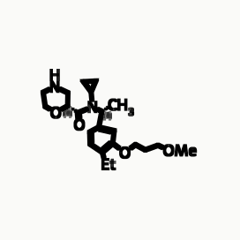 CCc1ccc([C@@H](C)N(C(=O)[C@H]2CNCCO2)C2CC2)cc1OCCCOC